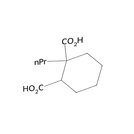 CCCC1(C(=O)O)CCCCC1C(=O)O